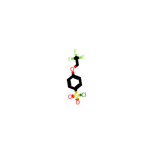 O=S(=O)(Cl)c1ccc(OCC(F)(F)F)cc1